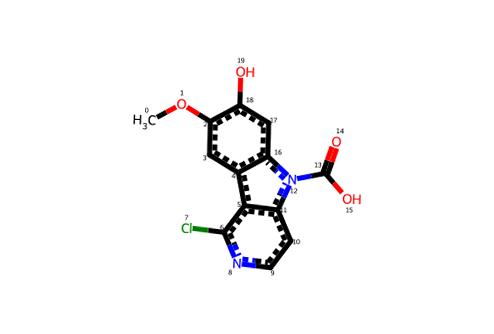 COc1cc2c3c(Cl)nccc3n(C(=O)O)c2cc1O